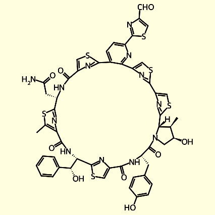 Cc1sc2nc1C(=O)N[C@@H]([C@H](O)c1ccccc1)c1nc(cs1)C(=O)N[C@@H](Cc1ccc(O)cc1)C(=O)N1C[C@H](O)[C@H](C)[C@H]1c1nc(cs1)-c1nc(cs1)-c1nc(-c3nc(C=O)cs3)ccc1-c1nc(cs1)C(=O)N[C@H]2CC(N)=O